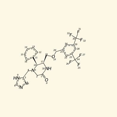 O=C1CN(Cc2nnc[nH]2)[C@@H](c2ccccc2)[C@@H](COCc2cc(C(F)(F)F)cc(C(F)(F)F)c2)N1